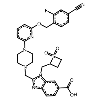 N#Cc1ccc(COc2cccc(N3CCN(Cc4nc5ccc(C(=O)O)cc5n4CC4CCS4(=O)=O)CC3)n2)c(F)c1